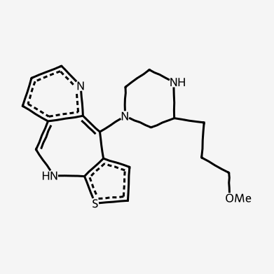 COCCCC1CN(C2=c3ncccc3=CNc3sccc32)CCN1